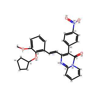 COc1cccc(/C=C/c2nc3ccccn3c(=O)c2-c2ccc([N+](=O)[O-])cc2)c1OC1CCCC1